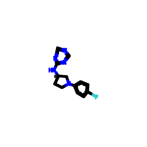 Fc1ccc(N2CC[C@@H](Nc3ncncn3)C2)cc1